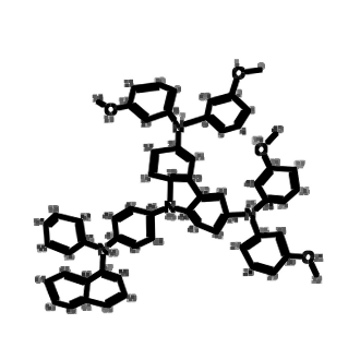 COc1cccc(N(c2cccc(OC)c2)c2ccc3c(c2)c2cc(N(c4cccc(OC)c4)c4cccc(OC)c4)ccc2n3-c2ccc(N(c3ccccc3)c3cccc4ccccc34)cc2)c1